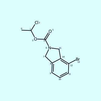 CC(Cl)OC(=O)N1Cc2cccc(Br)c2C1